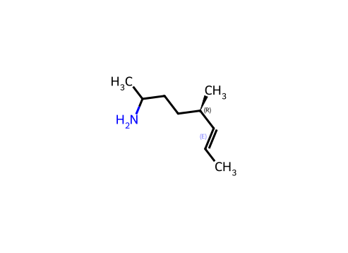 C/C=C/[C@H](C)CCC(C)N